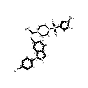 CCn1cc(S(=O)(=O)N2CCN(CC(C)C)[C@@H](c3cc4cnn(-c5ccc(F)cc5)c4cc3C)C2)cn1